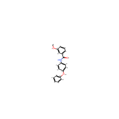 COc1cccc(C(=O)Nc2ccc(Oc3ccccc3)cc2)c1